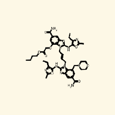 CCCCOC(=O)COc1cc(C(N)=O)cc2nc(Nc3oc(C)nc3CC)n(C/C=C/Cn3c(Nc4oc(C)nc4CC)nc4cc(C(N)=O)cc(CN5CCOCC5)c43)c12